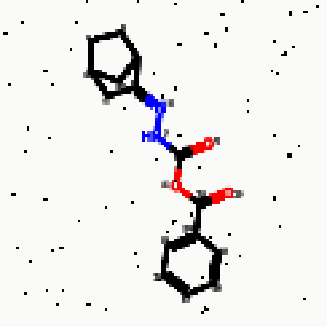 O=C(NN=C1CC2CCC1C2)OC(=O)c1ccccc1